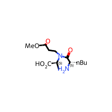 CCCC[C@H](N)C(=O)N(CCC(=O)OC)[C@@H](C)C(=O)O